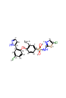 N#Cc1cc(S(=O)(=O)Nc2ncc(Cl)s2)ccc1Oc1ccc(F)cc1-c1ccn[nH]1